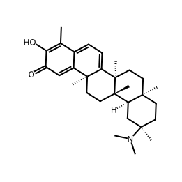 CC1=C(O)C(=O)C=C2C1=CC=C1[C@@]2(C)CC[C@@]2(C)[C@@H]3C[C@](C)(N(C)C)CC[C@]3(C)CC[C@]12C